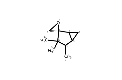 CC1C2CC2[C@@]2(CO2)C1(C)C